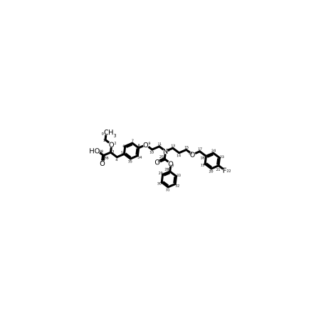 CCOC(Cc1ccc(OCCN(CCCOCc2ccc(F)cc2)C(=O)Oc2ccccc2)cc1)C(=O)O